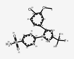 COc1cc(-c2nc(C(F)(F)F)nn2-c2ncc(S(N)(=O)=O)cn2)ccc1Cl